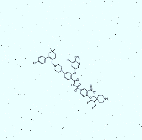 CC1(C)CCC(CN2CCN(c3ccc(C(=O)NS(=O)(=O)c4ccc(OCC5(C(CF)CF)CCNCC5)c([N+](=O)[O-])c4)c(Oc4cnc(N)c(Cl)c4)c3)CC2)=C(c2ccc(Cl)cc2)C1